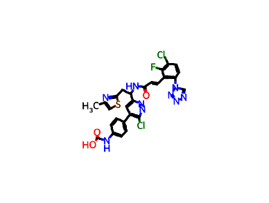 Cc1csc(CC(NC(=O)C=Cc2c(-n3cnnn3)ccc(Cl)c2F)c2cc(-c3ccc(NC(=O)O)cc3)c(Cl)nn2)n1